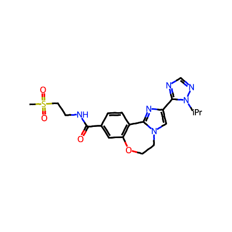 CC(C)n1ncnc1-c1cn2c(n1)-c1ccc(C(=O)NCCS(C)(=O)=O)cc1OCC2